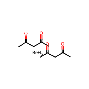 CC(=O)CC(C)=O.CC(=O)CC(C)=O.[BeH2]